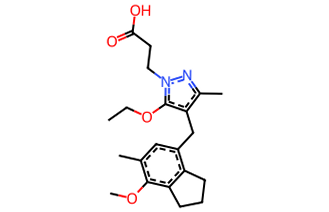 CCOc1c(Cc2cc(C)c(OC)c3c2CCC3)c(C)nn1CCC(=O)O